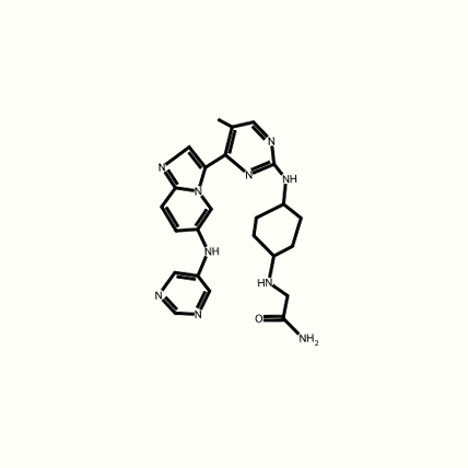 Cc1cnc(NC2CCC(NCC(N)=O)CC2)nc1-c1cnc2ccc(Nc3cncnc3)cn12